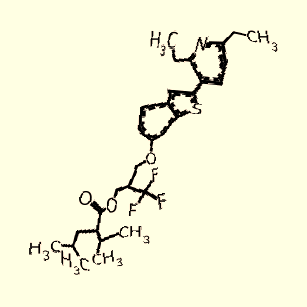 CCc1ccc(-c2cc3ccc(OCC(COC(=O)C(CC(C)C)C(C)C)C(F)(F)F)cc3s2)c(CC)n1